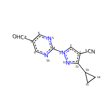 N#Cc1cn(-c2ncc(C=O)cn2)nc1C1CC1